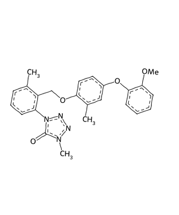 COc1ccccc1Oc1ccc(OCc2c(C)cccc2-n2nnn(C)c2=O)c(C)c1